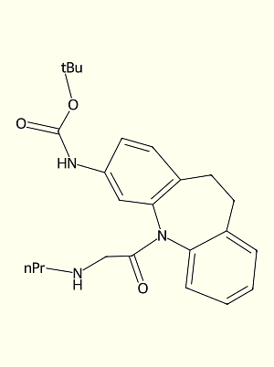 CCCNCC(=O)N1c2ccccc2CCc2ccc(NC(=O)OC(C)(C)C)cc21